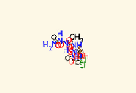 CCCC(NC(=O)[C@@H]1CC2(CN1C(=O)[C@@H](NC(=O)c1ccc(Cl)c(Cl)c1C(=O)O)C1CCCCC1)SCCCS2)C(=O)C(=O)NCC(=O)N[C@H](C(N)=O)c1ccccc1